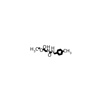 CCOC(=O)CNC(=O)NCc1ccc(C)cc1